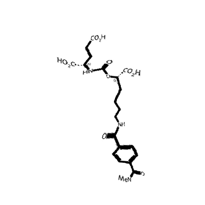 CNC(=O)c1ccc(C(=O)NCCCC[C@H](OC(=O)N[C@@H](CCC(=O)O)C(=O)O)C(=O)O)cc1